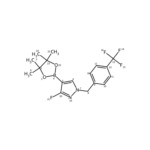 CC1(C)OB(c2cn(Cc3ccc(C(F)(F)F)cc3)nc2F)OC1(C)C